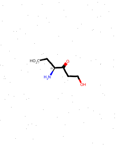 N[C@@H](CC(=O)O)C(=O)C[CH]O